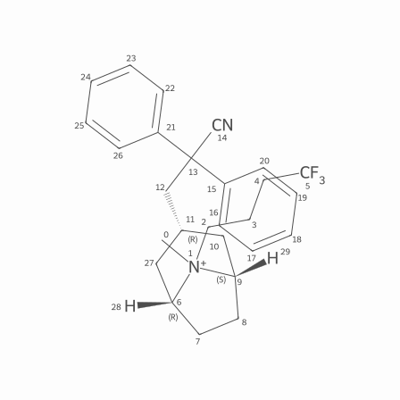 C[N+]1(CCCC(F)(F)F)[C@@H]2CC[C@H]1C[C@@H](CC(C#N)(c1ccccc1)c1ccccc1)C2